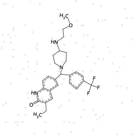 CCc1cc2cc(C(c3ccc(C(F)(F)F)cc3)N3CCC(NCCOC)CC3)ccc2[nH]c1=O